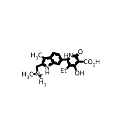 CCc1c(-c2ccc3c(C)c(CN(C)C)[nH]c3c2)[nH]c(=O)c(C(=O)O)c1O